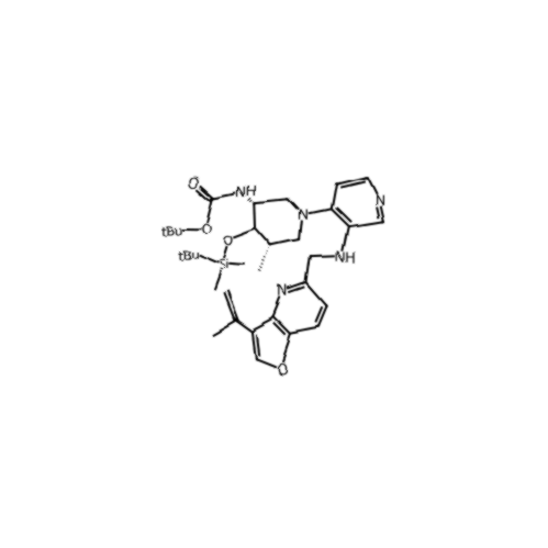 C=C(C)c1coc2ccc(CNc3cnccc3N3C[C@H](C)C(O[Si](C)(C)C(C)(C)C)[C@H](NC(=O)OC(C)(C)C)C3)nc12